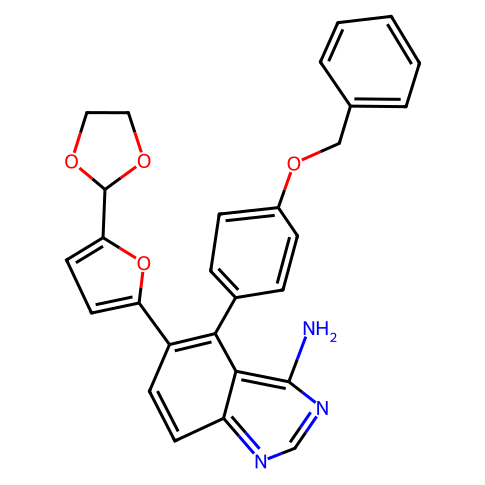 Nc1ncnc2ccc(-c3ccc(C4OCCO4)o3)c(-c3ccc(OCc4ccccc4)cc3)c12